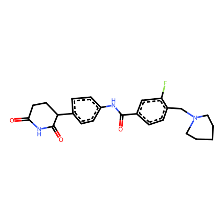 O=C1CCC(c2ccc(NC(=O)c3ccc(CN4CCCCC4)c(F)c3)cc2)C(=O)N1